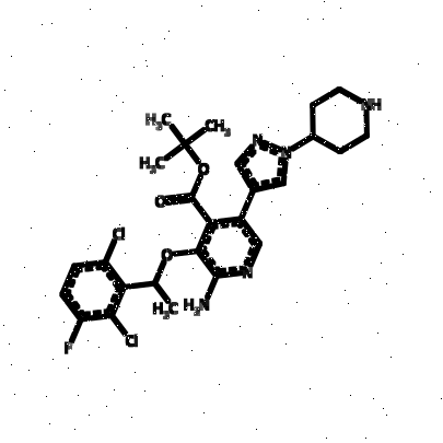 CC(Oc1c(N)ncc(-c2cnn(C3CCNCC3)c2)c1C(=O)OC(C)(C)C)c1c(Cl)ccc(F)c1Cl